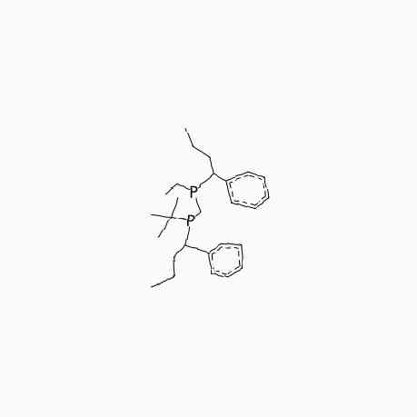 CCCC(c1ccccc1)P(CC)CP(C(CCC)c1ccccc1)C(C)(C)C